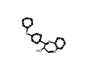 OC1C=Nc2ccccc2N=C1c1ccc(Sc2ccccc2)cc1